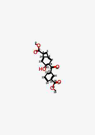 COC(=O)C1=Cc2cc(C(=O)c3cccc(C(=O)OC)c3)c(O)cc21